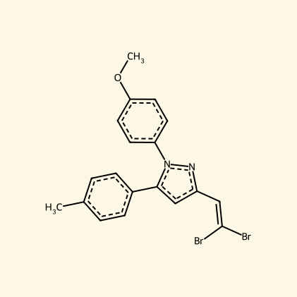 COc1ccc(-n2nc(C=C(Br)Br)cc2-c2ccc(C)cc2)cc1